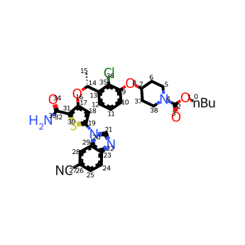 CCCCOC(=O)N1CCC(Oc2cccc([C@@H](C)Oc3cc(-n4cnc5ccc(C#N)cc54)sc3C(N)=O)c2Cl)CC1